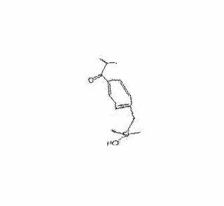 CC(C)C(=O)c1ccc(C[Si](C)(C)O)cc1